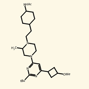 COC1CC(c2cc(N3CCN(CCC4CCC(NC(C)=O)CC4)C(C)C3)nc(C(C)(C)C)n2)C1